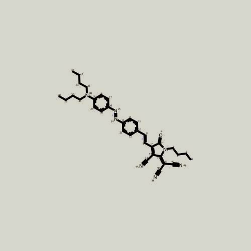 CCCCN1C(=O)C(/C=C/c2ccc(/N=N/c3ccc(N(CCCC)CCCC)cc3)cc2)=C(C#N)C1=C(C#N)C#N